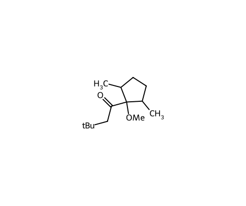 COC1(C(=O)CC(C)(C)C)C(C)CCC1C